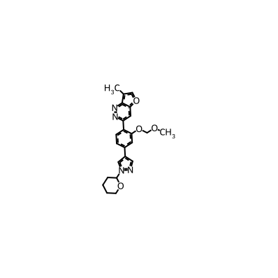 COCOc1cc(-c2cnn(C3CCCCO3)c2)ccc1-c1cc2occ(C)c2nn1